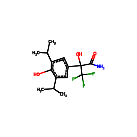 CC(C)c1cc(C(O)(C(N)=O)C(F)(F)F)cc(C(C)C)c1O